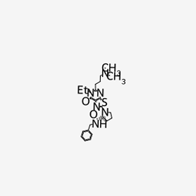 CCn1c(CCCN(C)C)nc2sc(N3CCC[C@@H]3C(=O)NCc3ccccc3)nc2c1=O